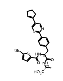 C[C@@H](NC(=O)[C@H](Cc1ccc(-c2ncc(C3=CCCC3)cn2)cc1)NC(=O)c1ccc(C(C)(C)C)s1)C(=O)O